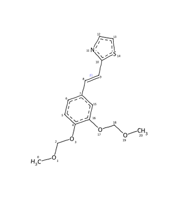 COCOc1ccc(/C=C/c2nccs2)cc1OCOC